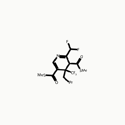 CSC(=O)C1=CN=C(C(F)F)C(C(=O)SC)C1(CC(C)C)C(F)(F)F